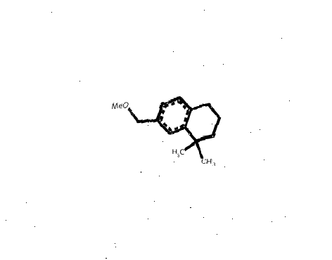 COCc1ccc2c(c1)C(C)(C)CCC2